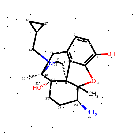 CC12Oc3c(O)ccc4c3[C@@]13CCN(CC1CC1)[C@H](C4)[C@]3(O)CC[C@@H]2N